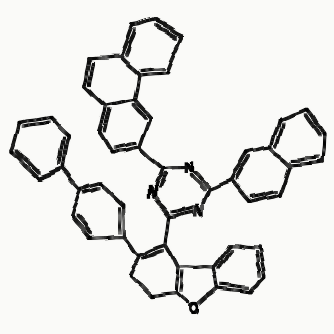 c1ccc(-c2ccc(C3=C(c4nc(-c5ccc6ccccc6c5)nc(-c5ccc6ccc7ccccc7c6c5)n4)c4c(oc5ccccc45)CC3)cc2)cc1